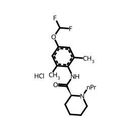 CCCN1CCCC[C@H]1C(=O)Nc1c(C)cc(OC(F)F)cc1C.Cl